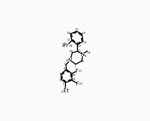 CCc1ccc(CN2CCN(C)C(c3ccccc3C(C)C)C2)c(F)c1F